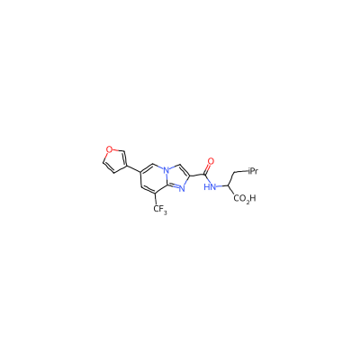 CC(C)CC(NC(=O)c1cn2cc(-c3ccoc3)cc(C(F)(F)F)c2n1)C(=O)O